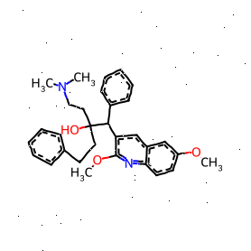 COc1ccc2nc(OC)c(C(c3ccccc3)C(O)(CCc3ccccc3)CCN(C)C)cc2c1